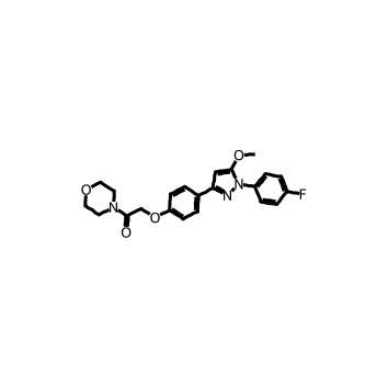 COc1cc(-c2ccc(OCC(=O)N3CCOCC3)cc2)nn1-c1ccc(F)cc1